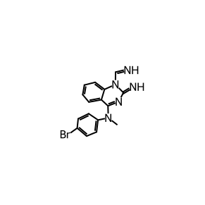 CN(c1ccc(Br)cc1)c1nc(=N)n(C=N)c2ccccc12